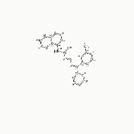 O=C(C=CC=C(c1ccccc1)c1cccc(C(F)(F)F)c1)Nc1cccc2cnccc12